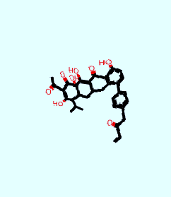 CCC(=O)Cc1ccc(-c2ccc(O)c3c2CC2CC4C(C(C)C)C(O)=C(C(C)=O)C(=O)C4(O)C(O)=C2C3=O)cc1